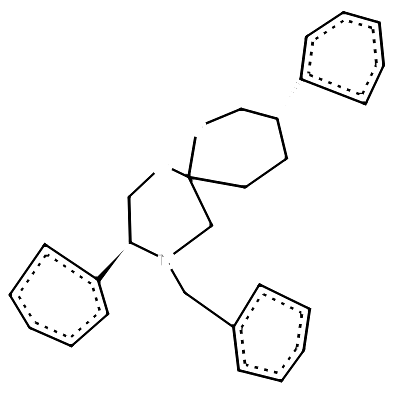 c1ccc(CN2CC3(CC[C@@H](c4ccccc4)CO3)OC[C@@H]2c2ccccc2)cc1